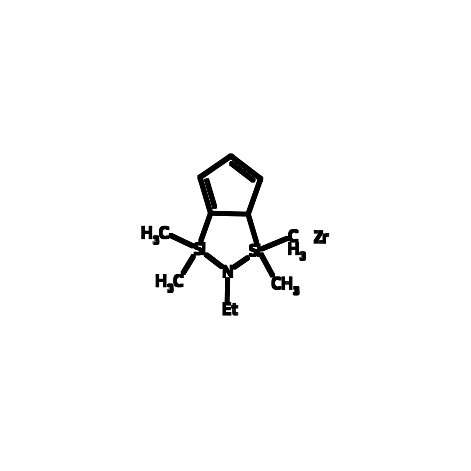 CCN1[Si](C)(C)C2=CC=CC2[Si]1(C)C.[Zr]